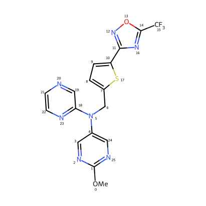 COc1ncc(N(Cc2ccc(-c3noc(C(F)(F)F)n3)s2)c2cnccn2)cn1